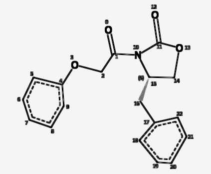 O=C(COc1ccccc1)N1C(=O)OC[C@@H]1Cc1ccccc1